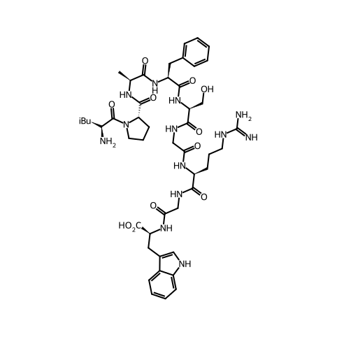 CC[C@H](C)[C@H](N)C(=O)N1CCC[C@H]1C(=O)N[C@@H](C)C(=O)N[C@@H](Cc1ccccc1)C(=O)N[C@@H](CO)C(=O)NCC(=O)N[C@@H](CCCNC(=N)N)C(=O)NCC(=O)N[C@@H](Cc1c[nH]c2ccccc12)C(=O)O